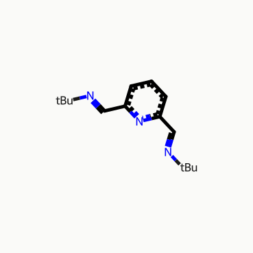 CC(C)(C)N=Cc1cccc(C=NC(C)(C)C)n1